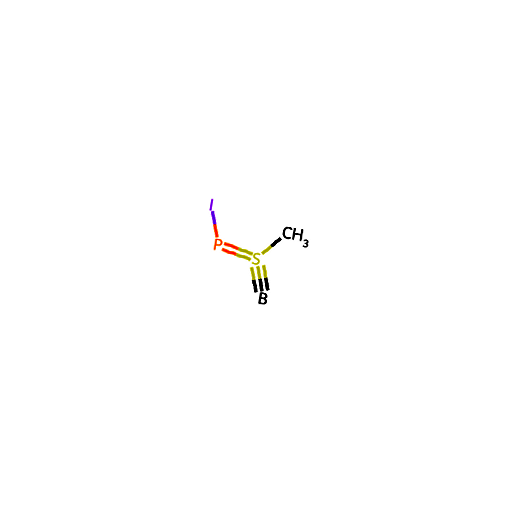 B#S(C)=PI